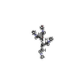 O=C(/C=C/c1ccccc1)NCCCN(CCCCN(CCCNC(=O)/C=C/c1ccccc1)CCCNC(=O)/C=C/c1ccccc1)CCCNC(=O)/C=C/c1ccccc1